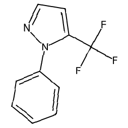 FC(F)(F)c1ccnn1-c1ccccc1